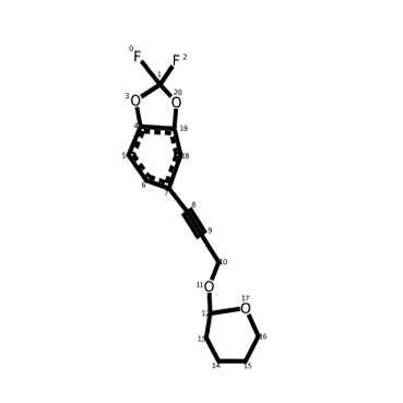 FC1(F)Oc2ccc(C#CCOC3CCCCO3)cc2O1